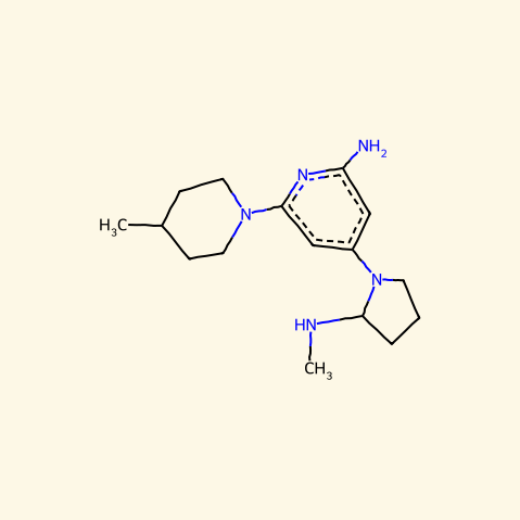 CNC1CCCN1c1cc(N)nc(N2CCC(C)CC2)c1